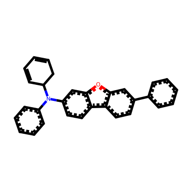 C1=CCC(N(c2ccccc2)c2ccc3c(c2)oc2cc(-c4ccccc4)ccc23)C=C1